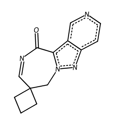 O=C1N=CC2(CCC2)Cn2nc3ccncc3c21